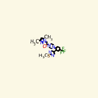 CSc1ncc(-c2cc(C(F)(F)F)ccc2N2CCN(C(=O)Cn3nc(C)cc3C)CC2)cn1